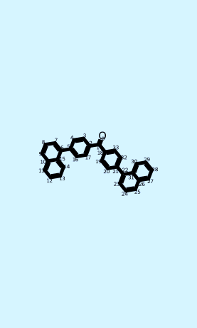 O=C(c1ccc(-c2cccc3ccccc23)cc1)c1ccc(-c2cccc3ccccc23)cc1